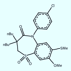 CCCCC1(CCCC)CS(=O)(=O)c2cc(OC)c(SC)cc2N(c2ccc(Cl)cc2)C1=O